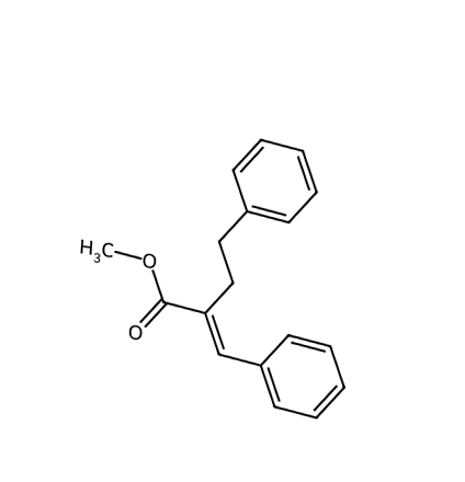 COC(=O)/C(=C/c1ccccc1)CCc1ccccc1